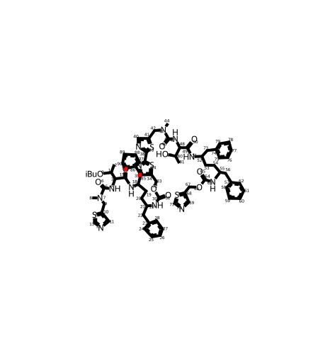 CC(C)COC(C)C(NC(=O)N(C)Cc1cncs1)C(=O)NC(CCC(Cc1ccccc1)NC(=O)OCc1cnc(-c2ncc(CN(C)C(=O)NC(C(=O)NC(CCC(Cc3ccccc3)NC(=O)OCc3cncs3)Cc3ccccc3)C(C)O)s2)s1)Cc1ccccc1